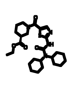 CCOC(=O)[C@H]1CCCN(C(=O)c2cnc(NC(=O)N(C3CCCCC3)C3CCCCC3)s2)C1